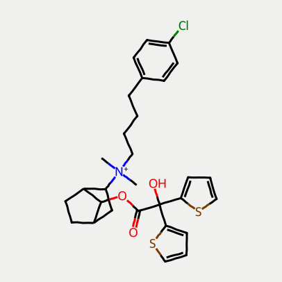 C[N+](C)(CCCCc1ccc(Cl)cc1)C1CC2CCC1C2OC(=O)C(O)(c1cccs1)c1cccs1